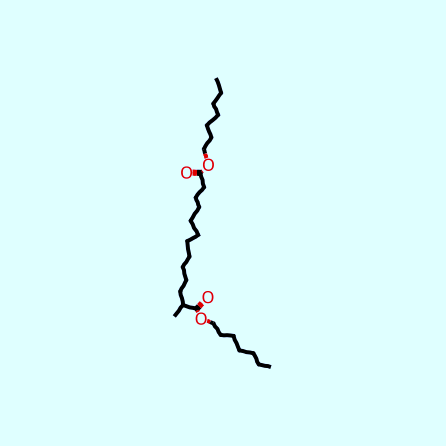 CCCCCCCOC(=O)CCCCCCCCCCC(C)C(=O)OCCCCCCC